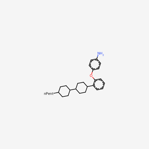 CCCCCC1CCC(C2CCC(c3ccccc3Oc3ccc(N)cc3)CC2)CC1